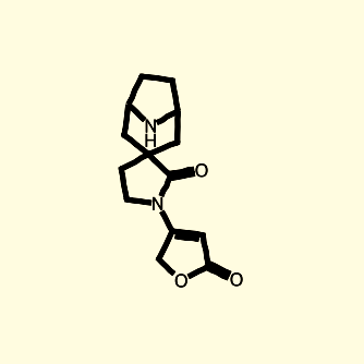 O=C1C=C(N2CCC3(CC4CCC(C3)N4)C2=O)CO1